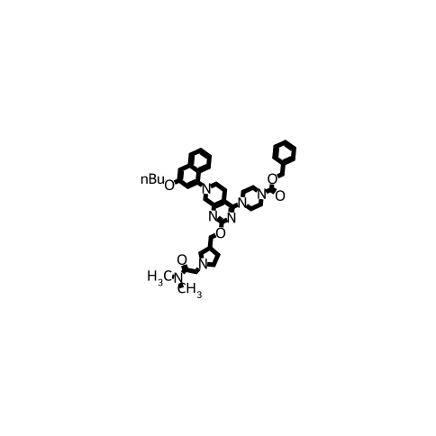 CCCCOc1cc(N2CCc3c(nc(OCC4CCN(CC(=O)N(C)C)C4)nc3N3CCN(C(=O)OCc4ccccc4)CC3)C2)c2ccccc2c1